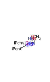 CCCC(C)CCCCC(CCC(C)CCC)NC(=O)NNc1snc2ccc(NS(C)(=O)=O)cc12